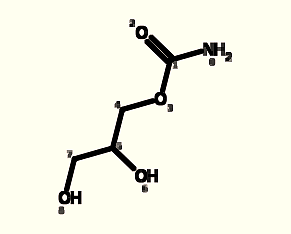 NC(=O)OCC(O)CO